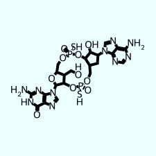 Nc1nc2c(ncn2C2OC3CO[P@](=O)(S)OC4C(CO[P@](=O)(S)OC2C3CO)CC(n2cnc3c(N)ncnc32)C4O)c(=O)[nH]1